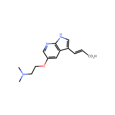 CN(C)CCOc1cnc2[nH]cc(/C=C/C(=O)O)c2c1